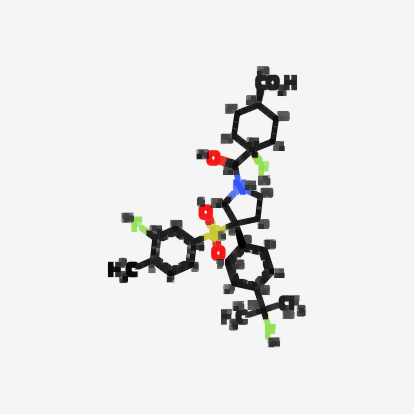 Cc1ccc(S(=O)(=O)[C@@]2(c3ccc(C(F)(C(F)(F)F)C(F)(F)F)cc3)CCN(C(=O)[C@]3(F)CC[C@@H](C(=O)O)CC3)C2)cc1F